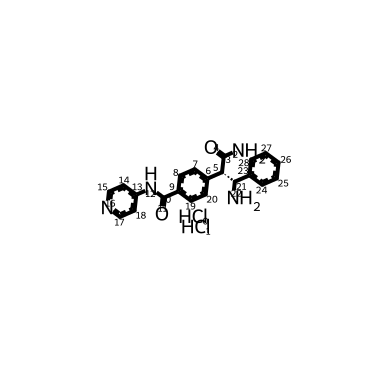 Cl.Cl.NC(=O)[C@@H](c1ccc(C(=O)Nc2ccncc2)cc1)C(N)c1ccccc1